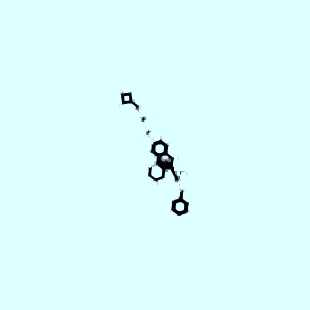 O=C(OCOc1ccc2c(c1)[C@@]13CCCC[C@H]1[C@@H](C2)N(C(=O)OCc1ccccc1)CC3)OCC1CCC1